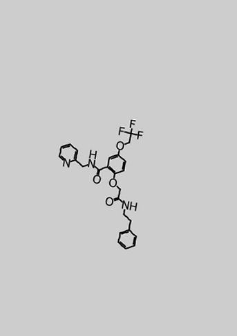 O=C(COc1ccc(OCC(F)(F)F)cc1C(=O)NCc1ccccn1)NCCc1ccccc1